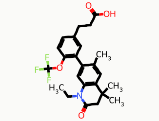 CCN1C(=O)CC(C)(C)c2cc(C)c(-c3cc(CCC(=O)O)ccc3OC(F)(F)F)cc21